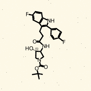 CC(C)(C)OC(=O)N1CC(NC(=O)CCc2c(-c3ccc(F)cc3)[nH]c3ccc(F)cc23)[C@@H](O)C1